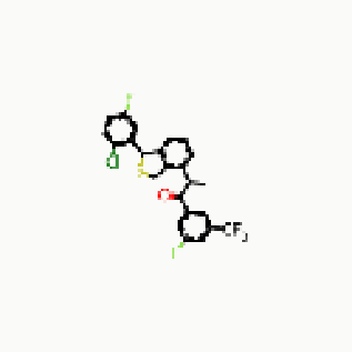 CC(C(=O)c1cc(F)cc(C(F)(F)F)c1)c1cccc2c1CSC2c1cc(F)ccc1Cl